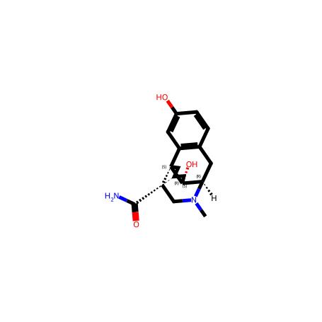 CN1CC[C@]23C[C@@H](C(N)=O)C[C@@]2(O)[C@H]1Cc1ccc(O)cc13